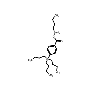 CCC[CH2][SnH2][O]C(=O)c1cc[c]([Sn]([CH2]CCC)([CH2]CCC)[CH2]CCC)cc1